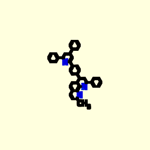 Cc1ccc2ccc3c(-c4ccc(-c5cc(-c6ccccc6)cc(-c6ccccc6)n5)cc4)cc(-c4ccccc4)nc3c2n1